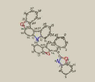 c1ccc2c(-c3nc4ccccc4o3)c3oc4cccc(-n5c6ccccc6c6c7c(ccc65)oc5ccccc57)c4c3cc2c1